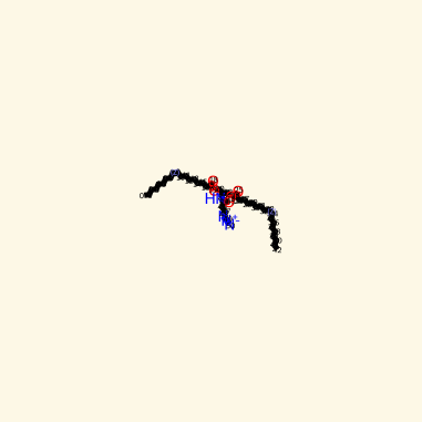 CCCCCCCC/C=C\CCCCCCCC(=O)OCC(COC(=O)CCCCCCC/C=C\CCCCCCCC)NC(=O)CCN=[N+]=[N-]